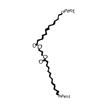 CCCCCC=CCC=CCC=CCCCCC(=O)OCCCOC(=O)CCCCC=CCC=CCC=CCCCCC